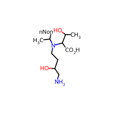 CCCCCCCCCC(C)N(CCC(O)CN)C(C(=O)O)C(C)O